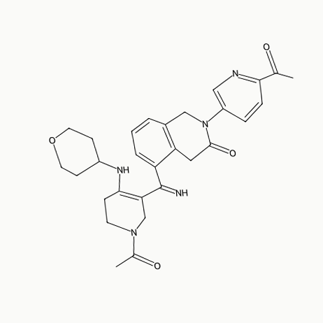 CC(=O)c1ccc(N2Cc3cccc(C(=N)C4=C(NC5CCOCC5)CCN(C(C)=O)C4)c3CC2=O)cn1